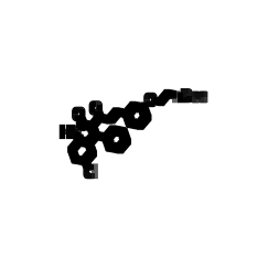 CCCCCCCCCCCCOc1cccc(C=CC(=O)c2c(-c3ccccc3)c3c([nH]c2=O)CCC(Cl)=C3)c1